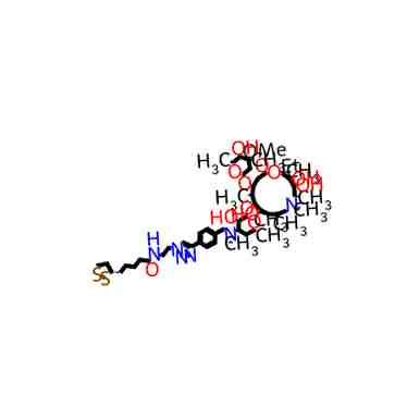 CC[C@@H]1OC(=O)C[C@H](O[C@H]2C[C@@](C)(OC)[C@@H](O)[C@H](C)O2)[C@@H](C)[C@H](O[C@H]2O[C@@H](C)C[C@@H](N(C)Cc3ccc(-c4cn(CCNC(=O)CCCC[C@H]5CCSS5)nn4)cc3)[C@@H]2O)C(C)(O)C[C@H](C)CN(C)[C@@H](C)[C@H](O)[C@@]1(C)O